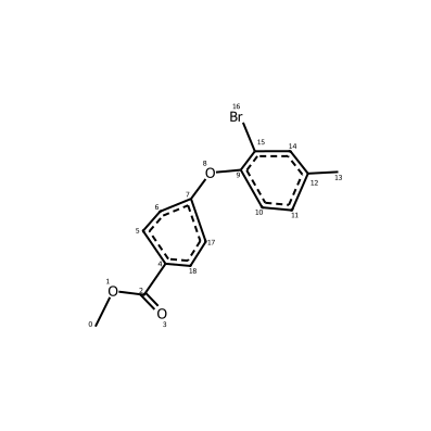 COC(=O)c1ccc(Oc2ccc(C)cc2Br)cc1